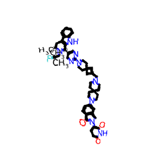 C[C@@H]1Cc2c([nH]c3ccccc23)[C@@H](c2cnc(N3CCC4(CC3)CC(CN3CCC5(CC3)CCN(c3ccc6c(c3)CN(C3CCC(=O)NC3=O)C6=O)CC5)C4)nc2)N1CC(C)(C)F